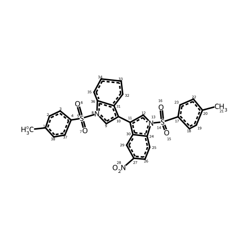 Cc1ccc(S(=O)(=O)n2cc(-c3cn(S(=O)(=O)c4ccc(C)cc4)c4ccc([N+](=O)[O-])cc34)c3ccccc32)cc1